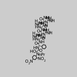 CCCN(c1ccc([N+](=O)[O-])cc1[N+](=O)[O-])C(O)C(=O)NC(C(=O)NC(NC(=N)N)C(=O)NC(NC(=N)N)C(=O)NC(NC(=N)N)C(=O)NC(NC(=N)N)C(N)=O)c1ccccc1